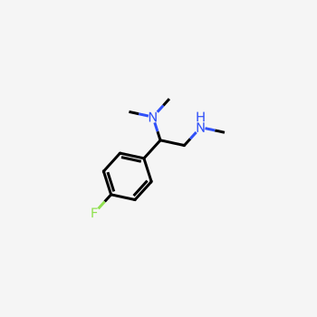 CNCC(c1ccc(F)cc1)N(C)C